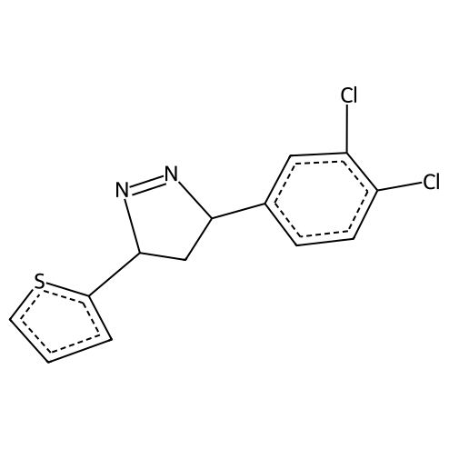 Clc1ccc(C2CC(c3cccs3)N=N2)cc1Cl